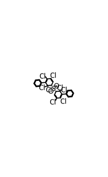 O=S(=O)(C1C=C(Cl)C(Cl)=C(c2ccccc2)C1(Cl)Cl)C1C=C(Cl)C(Cl)=C(c2ccccc2)C1(Cl)Cl